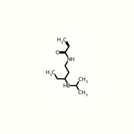 C=CC(=O)NCCC(BC(C)C)CC